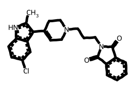 Cc1[nH]c2ccc(Cl)cc2c1C1=CCN(CCCN2C(=O)c3ccccc3C2=O)CC1